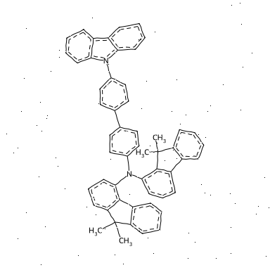 CC1(C)c2ccccc2-c2c(N(c3ccc(-c4ccc(-n5c6ccccc6c6ccccc65)cc4)cc3)c3cccc4c3C(C)(C)c3ccccc3-4)cccc21